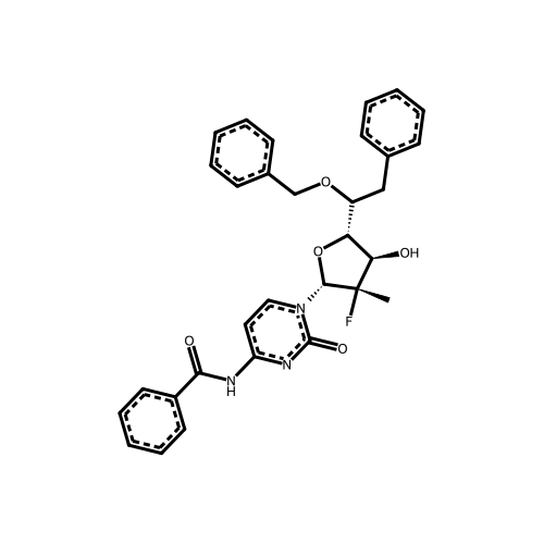 C[C@]1(F)[C@H](O)[C@@H](C(Cc2ccccc2)OCc2ccccc2)O[C@H]1n1ccc(NC(=O)c2ccccc2)nc1=O